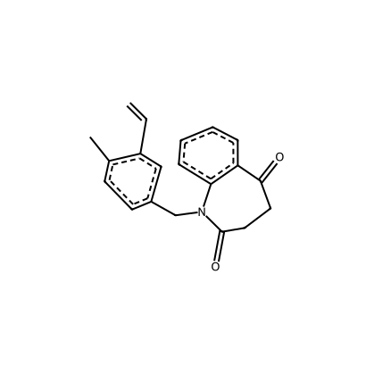 C=Cc1cc(CN2C(=O)CCC(=O)c3ccccc32)ccc1C